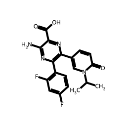 CC(C)n1cc(-c2nc(C(=O)O)c(N)nc2-c2ccc(F)cc2F)ccc1=O